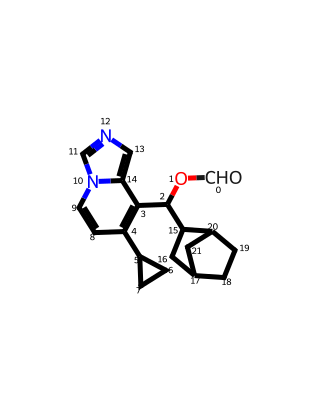 O=COC(c1c(C2CC2)ccn2cncc12)C1CC2CCC1C2